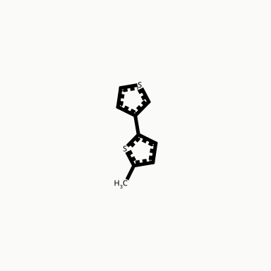 Cc1ccc(-c2ccsc2)s1